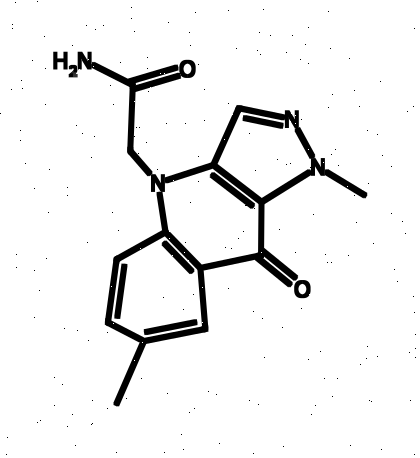 Cc1ccc2c(c1)c(=O)c1c(cnn1C)n2CC(N)=O